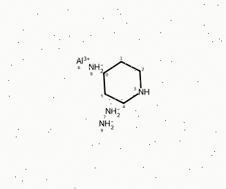 C1CCNCC1.[Al+3].[NH2-].[NH2-].[NH2-]